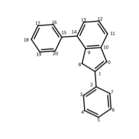 C1=C(c2ccccc2)Cc2c1cccc2-c1ccccc1